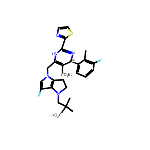 CCOC(=O)C1=C(Cn2cc(F)c3c2CCN3CC(C)(C)C(=O)O)NC(c2nccs2)=N[C@H]1c1cccc(F)c1C